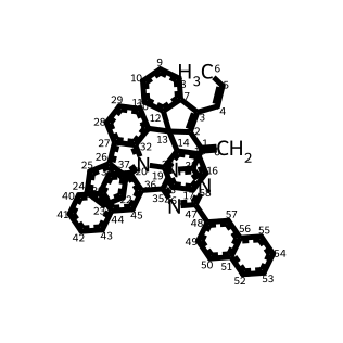 C=C(C1=C(/C=C\C)c2ccccc2C12c1ccccc1-n1c3ccccc3c3cccc2c31)c1nc(-c2ccc3ccccc3c2)nc(-c2ccc3ccccc3c2)n1